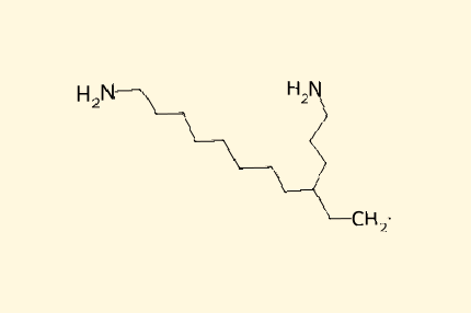 [CH2]CC(CCCN)CCCCCCCCN